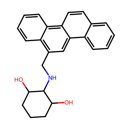 OC1CCCC(O)C1NCc1cc2c3ccccc3ccc2c2ccccc12